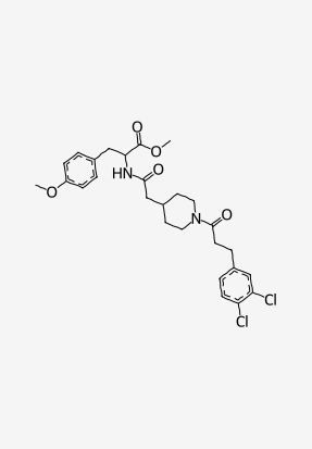 COC(=O)C(Cc1ccc(OC)cc1)NC(=O)CC1CCN(C(=O)CCc2ccc(Cl)c(Cl)c2)CC1